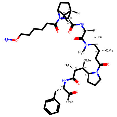 CC[C@H](C)[C@@H]([C@@H](CC(=O)N1CCC[C@H]1[C@H](OC)[C@@H](C)C(=O)N[C@@H](Cc1ccccc1)C(=O)OC)OC)N(C)C(=O)[C@@H](NC(=O)[C@@H]1[C@H]2CCC([C@H]2C)N1C(=O)CCCCCON)C(C)C